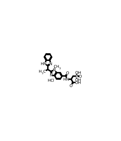 CC(c1nc2ccccc2[nH]1)c1nc2ccc(C(=O)NC(CP(=O)(O)O)C(=O)O)cc2n1C.Cl